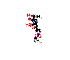 C=CCOC(=O)N1CCC(CCC2=C(C(=O)O)N3C(=O)[C@H]([C@@H](C)O)[C@H]3C2)C1